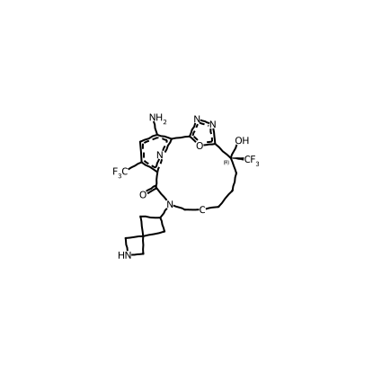 Nc1cc(C(F)(F)F)c2nc1-c1nnc(o1)[C@@](O)(C(F)(F)F)CCCCCN(C1CC3(CNC3)C1)C2=O